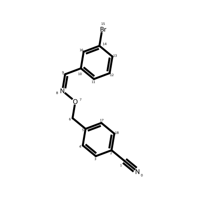 N#Cc1ccc(CO/N=[C]\c2cccc(Br)c2)cc1